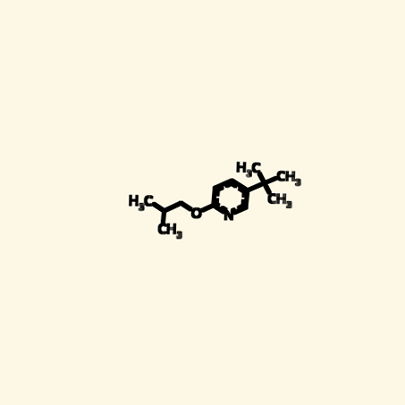 CC(C)COc1ccc(C(C)(C)C)cn1